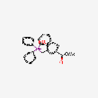 COC(=O)c1ccc(O)c(C[PH](c2ccccc2)(c2ccccc2)c2ccccc2)c1